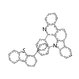 c1ccc(-n2c3ccccc3c3ccc4c5ccccc5nc(-c5ccc(-c6cccc7c6sc6ccccc67)cc5)c4c32)cc1